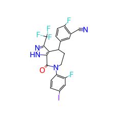 N#Cc1cc(C2CCN(c3ccc(I)cc3F)C(=O)c3[nH]nc(C(F)(F)F)c32)ccc1F